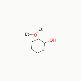 CCOCC.OC1CCCCC1